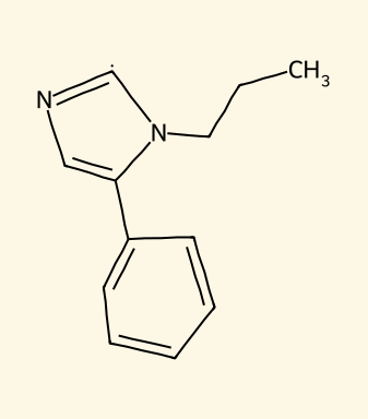 CCCn1[c]ncc1-c1ccccc1